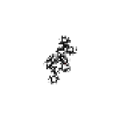 c1ccc(-c2cc(-c3ccccc3)nc(-c3cccc4ccc(-n5c6ccccc6c6c7c8ccccc8n(-c8ccccc8)c7ccc65)cc34)c2)cc1